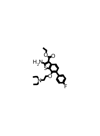 CCOC(=O)c1c(N)sc2c(OCCN(CC)CC)c(-c3ccc(F)cc3)ccc12